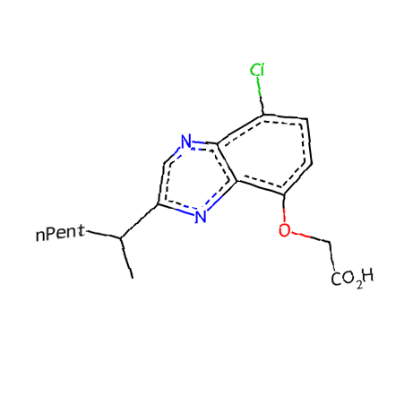 CCCCCC(C)c1cnc2c(Cl)ccc(OCC(=O)O)c2n1